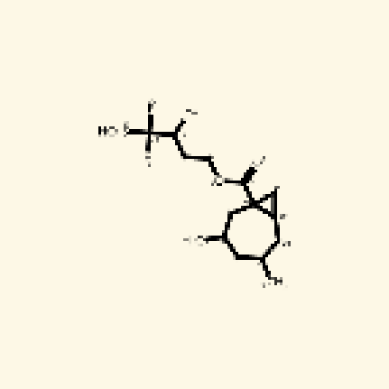 CC1CC(C)CC2(C(=O)OCCC(F)C(F)(F)S(=O)(=O)O)CC2C1